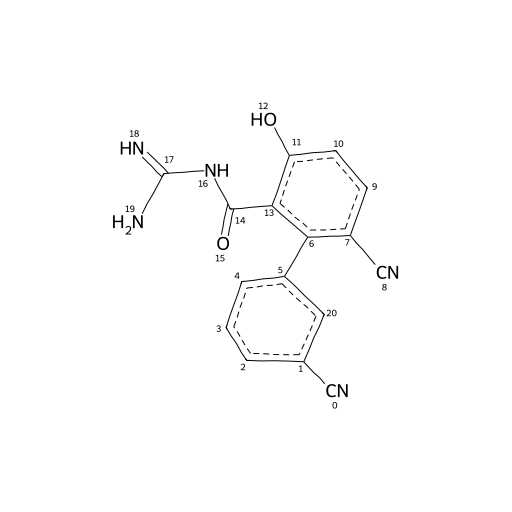 N#Cc1cccc(-c2c(C#N)ccc(O)c2C(=O)NC(=N)N)c1